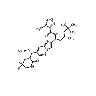 COC[C@H](c1cnn2cc([C@H](C[C@@H](C)CC(C)(C)C(F)(F)F)NC(=O)c3nonc3C)nc2c1)N1CC(F)(F)CNC1=O